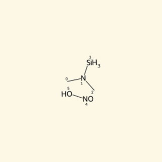 CN(C)[SiH3].O=NO